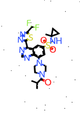 CC(C)C(=O)N1CCN(c2cc(S(=O)(=O)NC3(C)CC3)cc3c(-c4nnc(C(F)F)s4)ncnc23)CC1